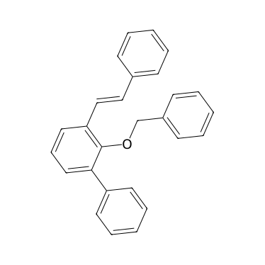 C(=Cc1cccc(-c2ccccc2)c1OCc1ccccc1)c1ccccc1